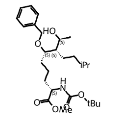 COC(=O)[C@H](CCC[C@H](OCc1ccccc1)[C@@H](CCC(C)C)[C@H](C)O)NC(=O)OC(C)(C)C